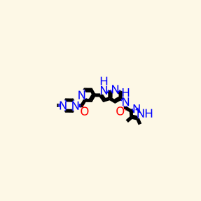 Cc1[nH]nc(C(=O)Nc2cnc3[nH]c(-c4ccnc(C(=O)N5CCN(C)CC5)c4)cc3c2)c1C